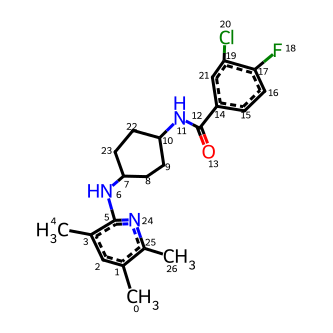 Cc1cc(C)c(NC2CCC(NC(=O)c3ccc(F)c(Cl)c3)CC2)nc1C